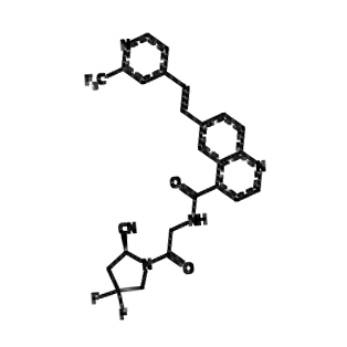 N#C[C@@H]1CC(F)(F)CN1C(=O)CNC(=O)c1ccnc2ccc(/C=C/c3ccnc(C(F)(F)F)c3)cc12